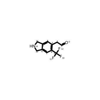 O=CCc1cc2c(cc1C(F)(F)F)CNC2